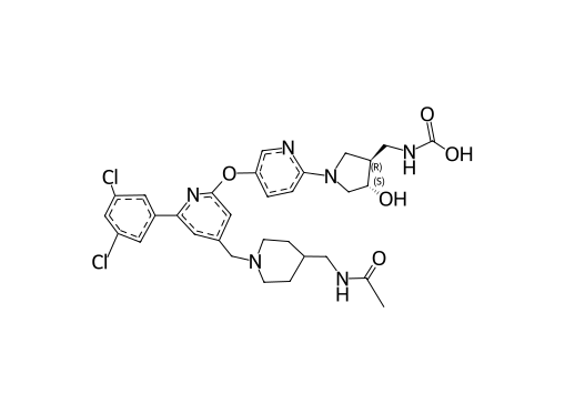 CC(=O)NCC1CCN(Cc2cc(Oc3ccc(N4C[C@@H](CNC(=O)O)[C@H](O)C4)nc3)nc(-c3cc(Cl)cc(Cl)c3)c2)CC1